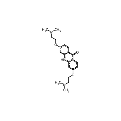 CN(C)CCOc1ccc2c(=O)c3ccc(OCCN(C)C)cc3[nH]c2c1